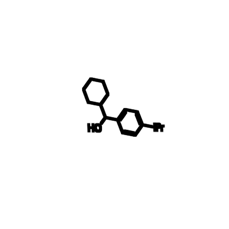 CC(C)c1ccc(C(O)C2CCCCC2)cc1